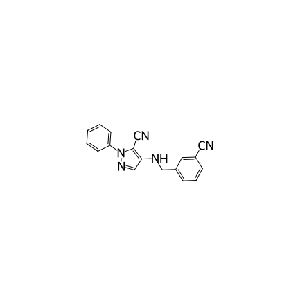 N#Cc1cccc(CNc2cnn(-c3ccccc3)c2C#N)c1